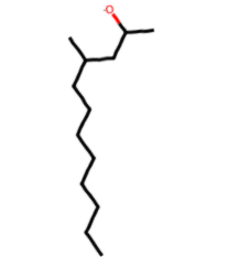 CCCCCCCCC(C)CC(C)[O]